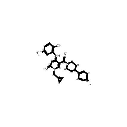 Cc1ccc(Cl)c(Nc2cc(=O)n(CC3CC3)cc2C(=O)N2CCC(c3ccc(F)cc3)CC2)c1